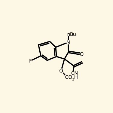 C=C(C#N)C1(OC(=O)O)C(=O)N(CCCC)c2ccc(F)cc21